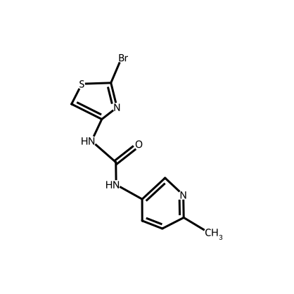 Cc1ccc(NC(=O)Nc2csc(Br)n2)cn1